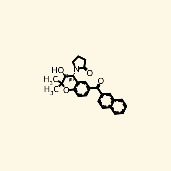 CC1(C)Oc2ccc(C(=O)c3ccc4ccccc4c3)cc2[C@@H](N2CCCC2=O)[C@@H]1O